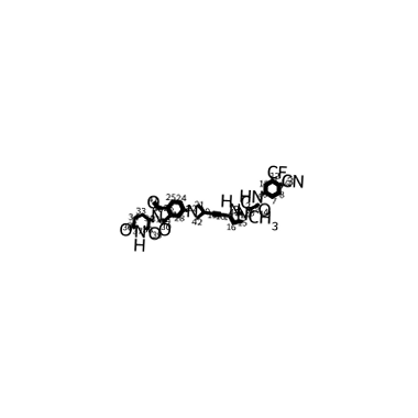 CC(C)(C(=O)Nc1ccc(C#N)c(C(F)(F)F)c1)n1ccc(C#CC2CN(c3ccc4c(c3)C(=O)N(C3CCC(=O)NC3=O)C4=O)C2)n1